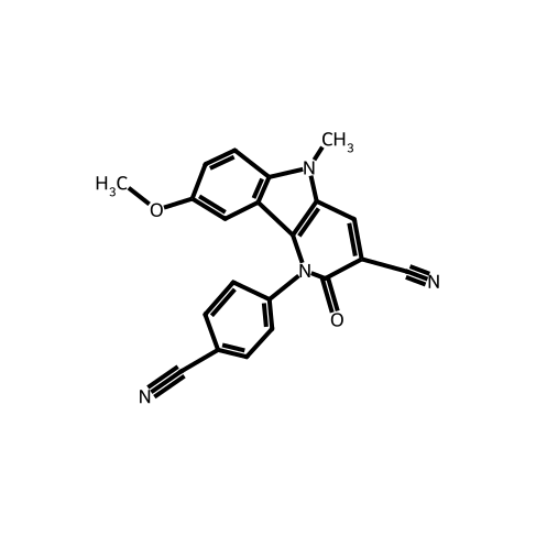 COc1ccc2c(c1)c1c(cc(C#N)c(=O)n1-c1ccc(C#N)cc1)n2C